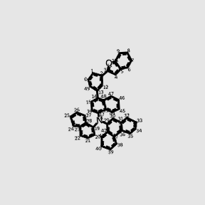 c1cc(-c2cc3ccccc3o2)cc(-c2ccc(N(c3cccc4ccccc34)c3cc4ccccc4c4ccccc34)c3ccccc23)c1